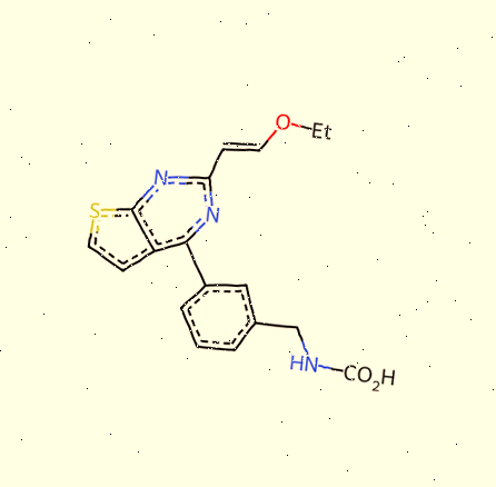 CCOC=Cc1nc(-c2cccc(CNC(=O)O)c2)c2ccsc2n1